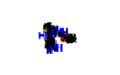 c1ccc(OCCNc2nc(Nc3ccc4[nH]ncc4c3)c3sccc3n2)cc1